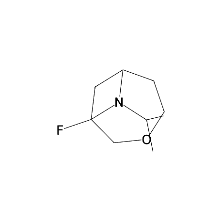 CC(C)N1C2CCOCC1(F)C2